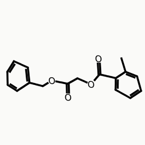 Cc1ccccc1C(=O)OCC(=O)OCc1ccccc1